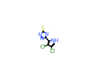 S=C1N=NC(c2[nH]cc(Cl)c2Cl)=N1